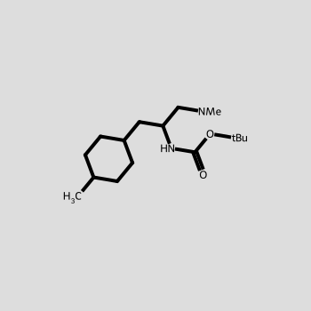 CNCC(CC1CCC(C)CC1)NC(=O)OC(C)(C)C